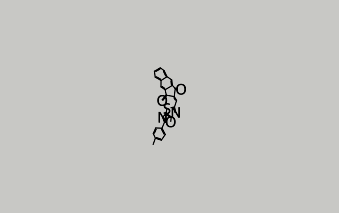 Cc1ccc(-c2nc3sc(C=C4C(=O)c5cc6ccccc6cc5C4=O)nc3o2)cc1